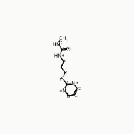 CNC(=S)NCCCSc1ncccn1